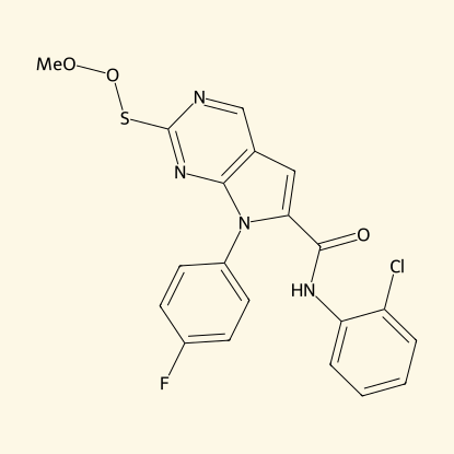 COOSc1ncc2cc(C(=O)Nc3ccccc3Cl)n(-c3ccc(F)cc3)c2n1